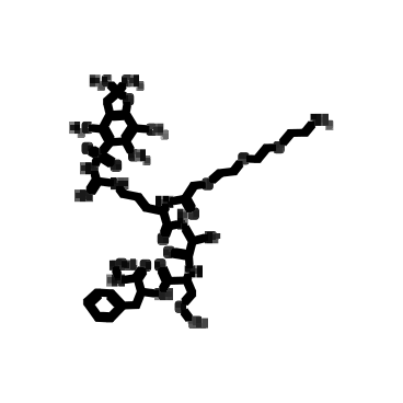 CCCCCCCCNC(=O)C(Cc1ccccc1)NC(=O)C(COC(C)(C)C)NC(=O)C(NC(=O)C(CCCNC(=N)NS(=O)(=O)c1c(C)c(C)c2c(c1C)CC(C)(C)O2)NC(=O)COCCOCCOCCN)C(C)C